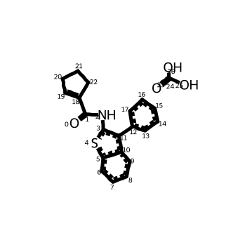 O=C(Nc1sc2ccccc2c1-c1ccccc1)C1=CCCC1.O=C(O)O